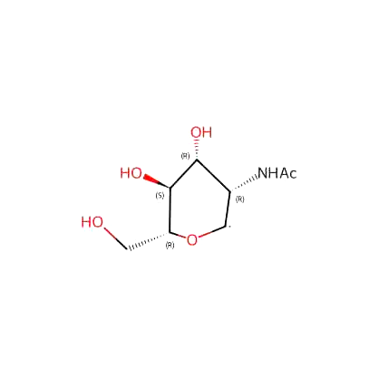 CC(=O)N[C@@H]1[CH]O[C@H](CO)[C@@H](O)[C@@H]1O